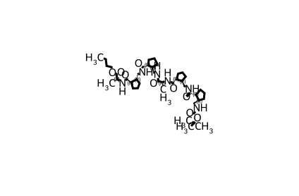 CCCCOC(=O)[C@@H](C)NC(=O)[C@@H]1CCC[C@H]1CNC(=O)[C@@H]1CCC[C@H]1CNC(=O)[C@@H](C)NC(=O)[C@@H]1CCC[C@H]1CNC(=O)[C@@H]1CCC[C@H]1CNC(=O)OC(C)(C)C